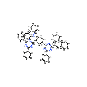 c1ccc(-c2nc(-c3ccccc3)nc(-c3cc(-c4nc(-c5ccccc5)nc(-c5cc6ccccc6c6ccccc56)n4)ccc3-n3c4ccccc4c4ccccc43)n2)cc1